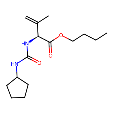 C=C(C)[C@H](NC(=O)NC1CCCC1)C(=O)OCCCC